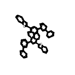 c1ccc(-c2cccc(-c3cc(-c4cc5ccccc5o4)c4ccc5c(-c6cccc(-c7ccccc7)c6)cc(-c6cc7ccccc7o6)c6ccc3c4c56)c2)cc1